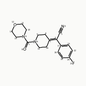 N#CC(=C1CCN(C(=O)N2CCOCC2)CC1)c1ccc(F)cc1